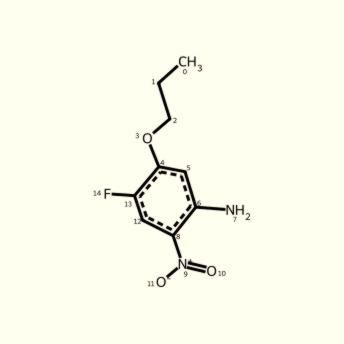 CCCOc1cc(N)c([N+](=O)[O-])cc1F